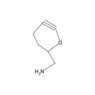 NCC1CCC#CO1